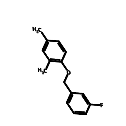 Cc1ccc(OCc2cccc(F)c2)c(C)c1